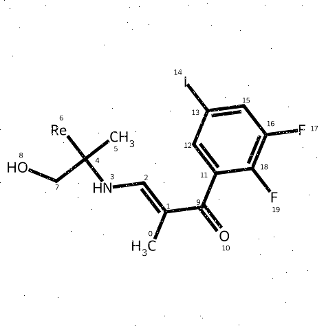 CC(=CN[C](C)([Re])CO)C(=O)c1cc(I)cc(F)c1F